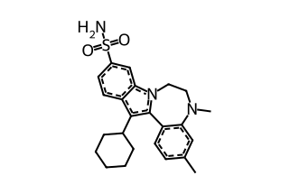 Cc1ccc2c(c1)N(C)CCn1c-2c(C2CCCCC2)c2ccc(S(N)(=O)=O)cc21